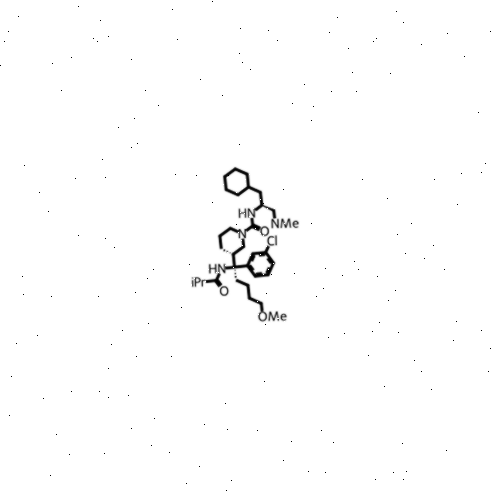 CNC[C@H](CC1CCCCC1)NC(=O)N1CCC[C@@H]([C@](CCCCOC)(NC(=O)C(C)C)c2cccc(Cl)c2)C1